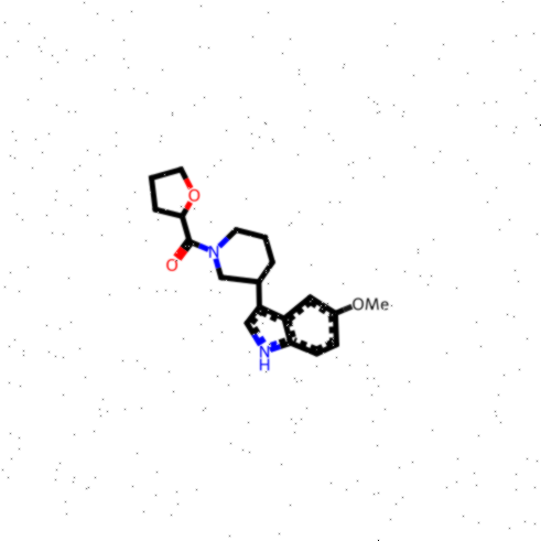 COc1ccc2[nH]cc(C3CCCN(C(=O)C4CCCO4)C3)c2c1